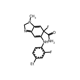 CCc1ccc(NC2=CC3=NCN(C)C3=CC2(F)C(N)=O)c(F)c1